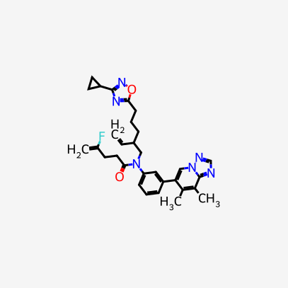 C=CC(CCCc1nc(C2CC2)no1)CN(C(=O)CCC(=C)F)c1cccc(-c2cn3ncnc3c(C)c2C)c1